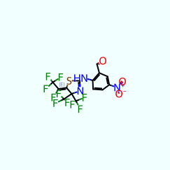 O=Cc1cc([N+](=O)[O-])ccc1NC1=NC(C(F)(F)F)(C(F)(F)F)/C(=C(\F)C(F)(F)F)S1